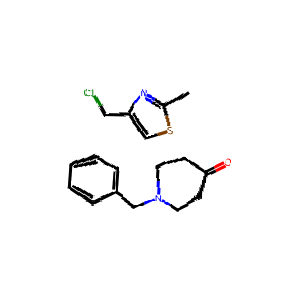 Cc1nc(CCl)cs1.O=C1CCN(Cc2ccccc2)CC1